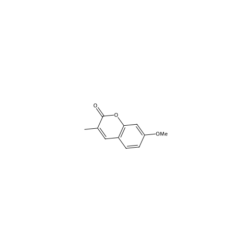 COc1ccc2cc(C)c(=O)oc2c1